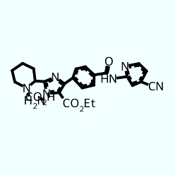 CCOC(=O)c1c(-c2ccc(C(=O)Nc3cc(C#N)ccn3)cc2)nc(C2CCCCN2C(=O)O)n1N